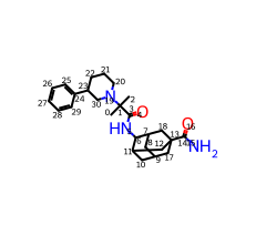 CC(C)(C(=O)NC1C2CC3CC1CC(C(N)=O)(C3)C2)N1CCCC(c2ccccc2)C1